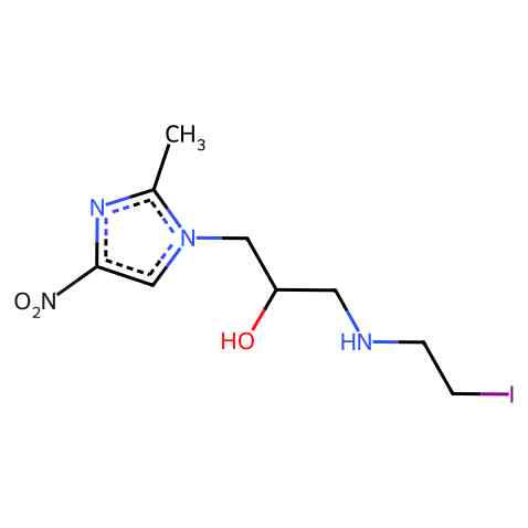 Cc1nc([N+](=O)[O-])cn1CC(O)CNCCI